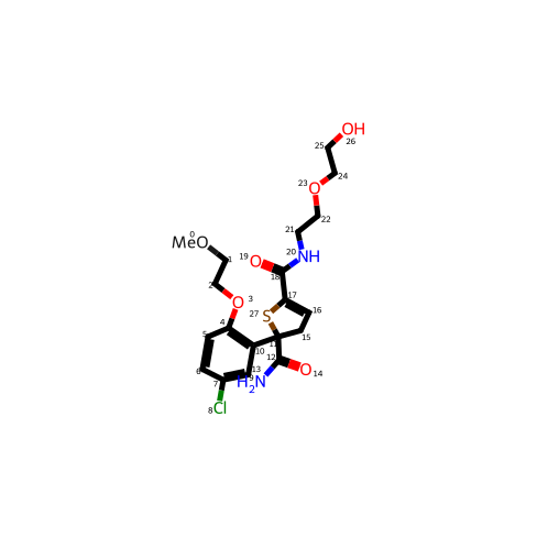 COCCOc1ccc(Cl)cc1C1(C(N)=O)CC=C(C(=O)NCCOCCO)S1